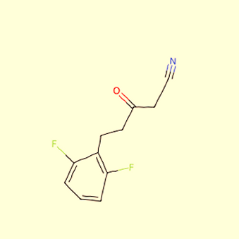 N#CCC(=O)CCc1c(F)cccc1F